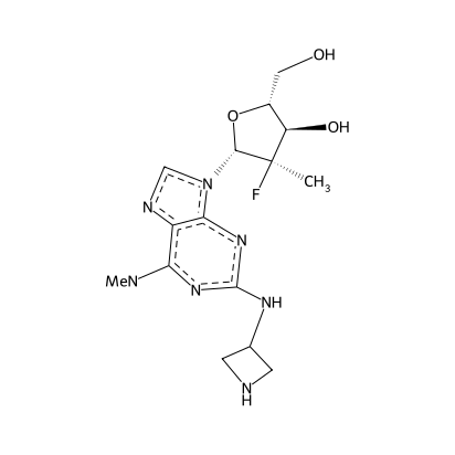 CNc1nc(NC2CNC2)nc2c1ncn2[C@@H]1O[C@H](CO)[C@@H](O)[C@@]1(C)F